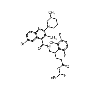 CCCC(F)OC(=O)CCC(CNC(=O)c1c(C)c(N2CCCC(C)C2)nc2ccc(Br)cc12)c1c(F)ccc(F)c1Cl